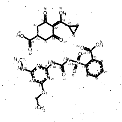 CCOc1nc(NC)nc(NC(=O)NS(=O)(=O)c2ccccc2C(=O)O)n1.O=C1CC(C(=O)O)CC(=O)C1=C(O)C1CC1